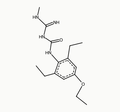 CCOc1cc(CC)c(NC(=O)NC(=N)NC)c(CC)c1